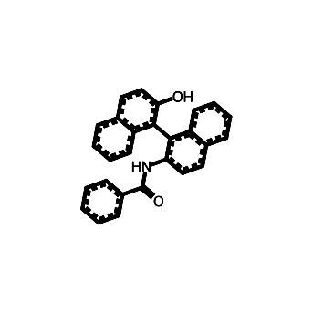 O=C(Nc1ccc2ccccc2c1-c1c(O)ccc2ccccc12)c1ccccc1